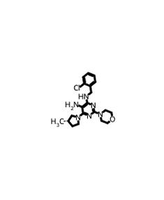 C[C@H]1CCN(c2nc(N3CCOCC3)nc(NCc3ccccc3Cl)c2N)C1